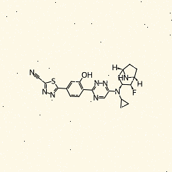 N#Cc1nnc(-c2ccc(-c3ncc(N(C4CC4)[C@H]4C[C@@H]5CC[C@@H](N5)[C@H]4F)nn3)c(O)c2)s1